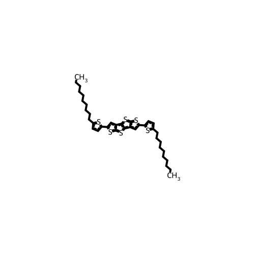 CCCCCCCCCCc1ccc(-c2cc3c(s2)sc2c4cc(-c5ccc(CCCCCCCCCC)s5)sc4sc32)s1